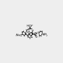 COc1ccc(OCC2CC2)c(-c2ncnc3c(C(=O)N[C@H]4CC[C@@H](N)CC4)c(C)[nH]c23)c1.Cl